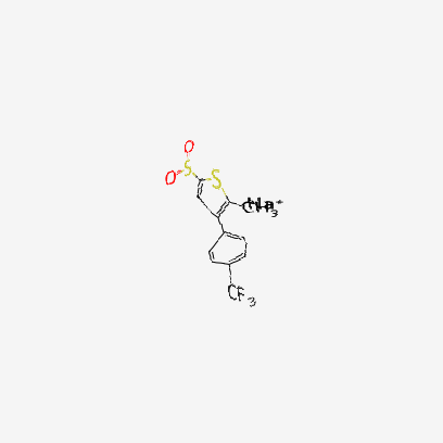 Cc1sc(S(=O)[O-])cc1-c1ccc(C(F)(F)F)cc1.[Na+]